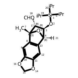 CC(C)[Si](O[C@H]1[C@@H]2O[C@](C)(c3cc4c(cc32)OCO4)[C@@H]1C=O)(C(C)C)C(C)C